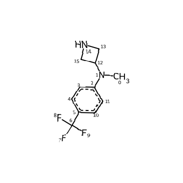 CN(c1ccc(C(F)(F)F)cc1)C1CNC1